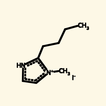 CCCCc1[nH]cc[n+]1C.[I-]